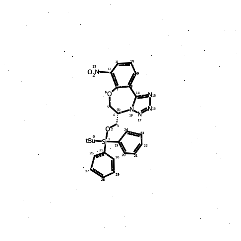 CC(C)(C)[Si](OC[C@@H]1COc2c(cccc2[N+](=O)[O-])-c2nnnn21)(c1ccccc1)c1ccccc1